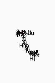 C=C1N=C(Nc2ccc(N3CCN(CC(=O)NCCOCCOCCC(=O)Nc4cc(NCCCC)ccc4C(=O)Nc4nc(C)c(C)s4)CC3)cn2)NC(C)(CC)C(=O)N1C1CCCC1